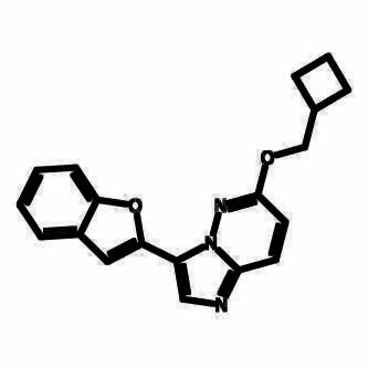 c1ccc2oc(-c3cnc4ccc(OCC5CCC5)nn34)cc2c1